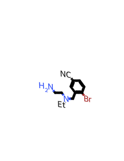 CCN(CCN)Cc1cc(C#N)ccc1Br